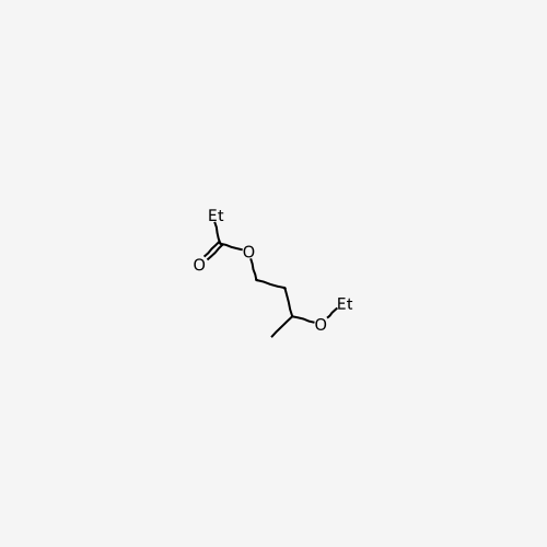 CCOC(C)CCOC(=O)CC